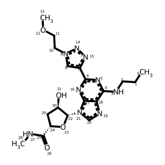 CCCNc1nc(-c2cn(CCOC)nn2)nc2c1ncn2[C@@H]1O[C@H](C(=O)NC)C[C@H]1O